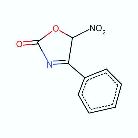 O=C1N=C(c2ccccc2)C([N+](=O)[O-])O1